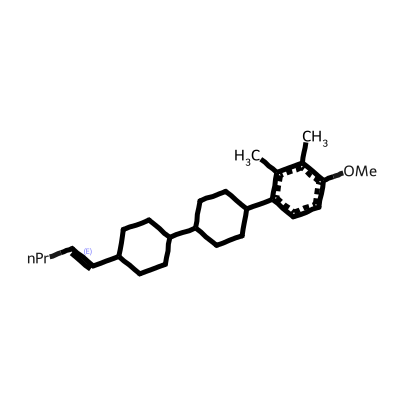 CCC/C=C/C1CCC(C2CCC(c3ccc(OC)c(C)c3C)CC2)CC1